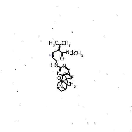 CCNC(=O)C(/C=C\CNc1ncc(F)c(N2CC3CC(C2)N3C(=O)C(C)(C)F)n1)=C(C)C